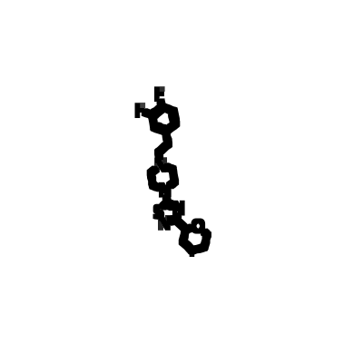 Fc1ccc(CCN2CCN(c3nc(C4C[CH]CCO4)ns3)CC2)cc1F